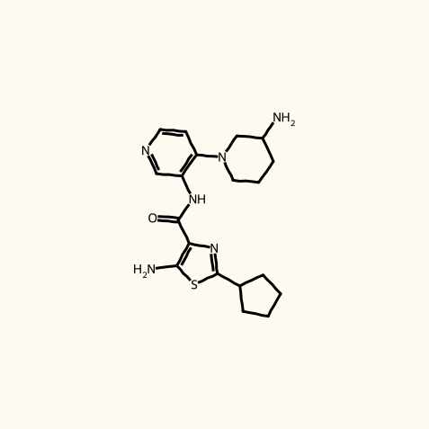 Nc1sc(C2CCCC2)nc1C(=O)Nc1cnccc1N1CCCC(N)C1